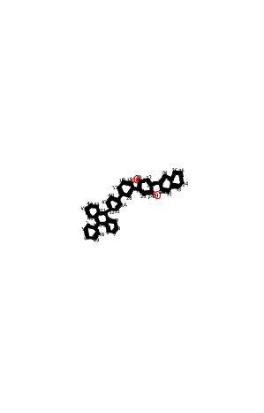 c1ccc(-c2c3ccccc3c(-c3ccc(-c4ccc5oc6cc7c(cc6c5c4)oc4cc5ccccc5cc47)cc3)c3ccccc23)cc1